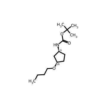 CCCCO[C@@H]1CC[C@H](NC(=O)OC(C)(C)C)C1